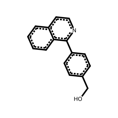 OCc1ccc(-c2nccc3ccccc23)cc1